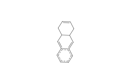 C1=CCC2C=c3ccccc3=CC2C1